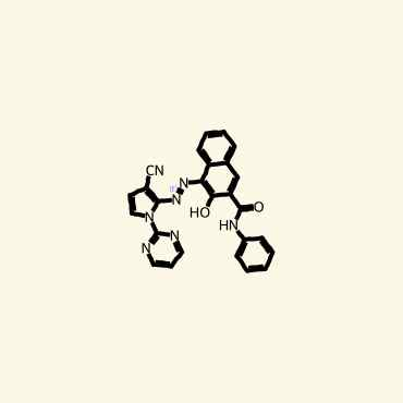 N#Cc1ccn(-c2ncccn2)c1/N=N/c1c(O)c(C(=O)Nc2ccccc2)cc2ccccc12